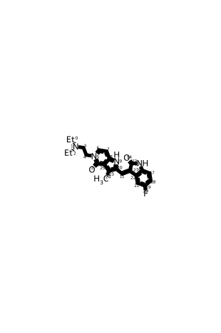 CCN(CC)CCn1ccc2[nH]c(C=C3C(=O)Nc4ccc(F)cc43)c(C)c2c1=O